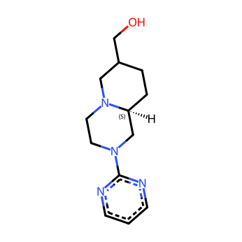 OCC1CC[C@H]2CN(c3ncccn3)CCN2C1